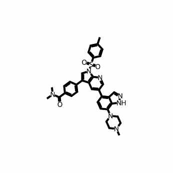 Cc1ccc(S(=O)(=O)n2cc(-c3ccc(C(=O)N(C)C)cc3)c3cc(-c4ccc(N5CCN(C)CC5)c5[nH]ncc45)cnc32)cc1